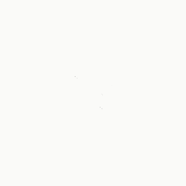 O=C1N=CC12CNC2